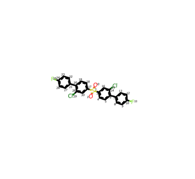 O=S(=O)(c1ccc(-c2ccc(F)cc2)c(Cl)c1)c1ccc(-c2ccc(F)cc2)c(Cl)c1